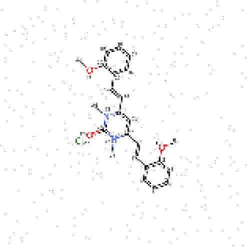 COc1ccccc1/C=C/c1cc(/C=C/c2ccccc2OC)[n+](C)c(=O)n1C.[Cl-]